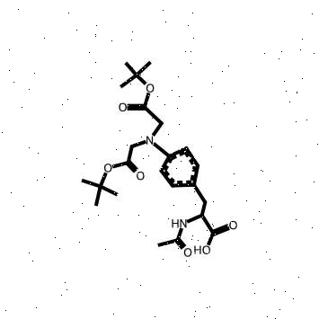 CC(=O)NC(Cc1ccc(N(CC(=O)OC(C)(C)C)CC(=O)OC(C)(C)C)cc1)C(=O)O